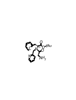 CC(C)(C)OC(=O)[C@H](Cc1ccccc1)N(Cc1ccccn1)C(=O)CN